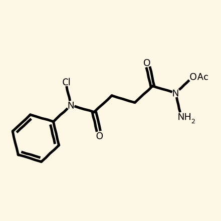 CC(=O)ON(N)C(=O)CCC(=O)N(Cl)c1ccccc1